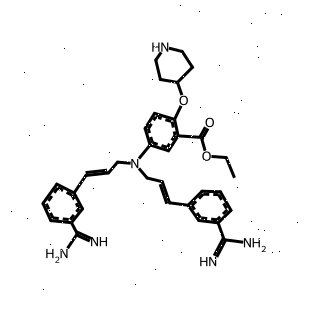 CCOC(=O)c1cc(N(C/C=C/c2cccc(C(=N)N)c2)C/C=C/c2cccc(C(=N)N)c2)ccc1OC1CCNCC1